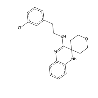 Clc1cccc(CCNC2=Nc3ccccc3NC23CCOCC3)c1